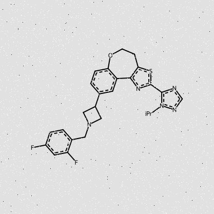 CC(C)n1ncnc1-c1nc2c(s1)CCOc1ccc(C3CN(Cc4ccc(F)cc4F)C3)cc1-2